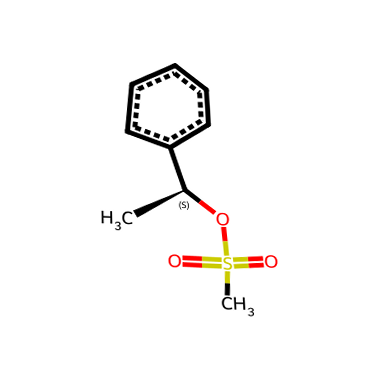 C[C@H](OS(C)(=O)=O)c1ccccc1